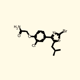 CC(C)Cc1sc(Br)nc1-c1ccc(OCC(N)=O)c(Cl)c1